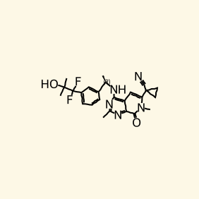 Cc1nc(N[C@H](C)c2cccc(C(F)(F)C(C)(C)O)c2)c2cc(C3(C#N)CC3)n(C)c(=O)c2n1